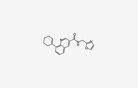 O=C(NCc1ncco1)c1cnc2c(C3=CCCCC3)cccc2c1